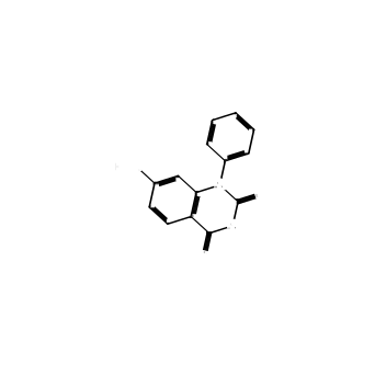 O=c1[nH]c(=O)n(-c2ccccc2)c2cc(S(=O)(=O)O)ccc12